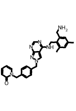 Cc1cc(C)c(CNc2ncnc3nn(Cc4ccc(Cn5ccccc5=O)cc4)cc23)c(CN)c1